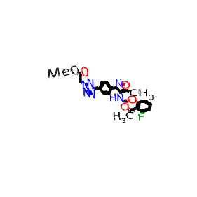 COC(=O)Cn1nnc(-c2ccc(-c3noc(C)c3NC(=O)O[C@H](C)c3ccccc3F)cc2)n1